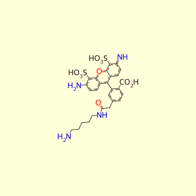 N=c1ccc2c(-c3cc(CC(=O)NCCCCCN)ccc3C(=O)O)c3ccc(N)c(S(=O)(=O)O)c3oc-2c1S(=O)(=O)O